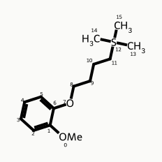 COc1ccccc1OCCCCS(C)(C)C